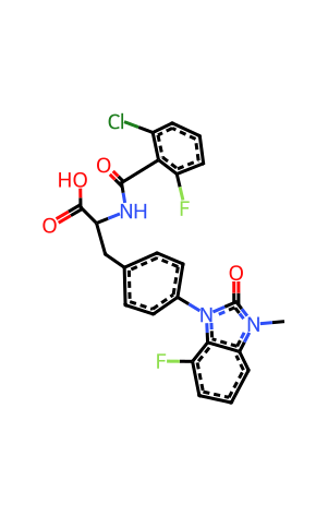 Cn1c(=O)n(-c2ccc(CC(NC(=O)c3c(F)cccc3Cl)C(=O)O)cc2)c2c(F)cccc21